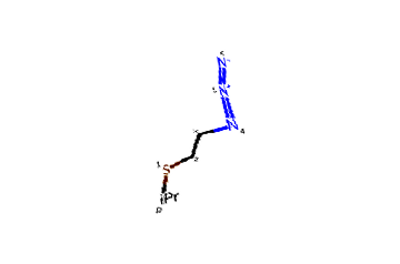 CC(C)SCCN=[N+]=[N-]